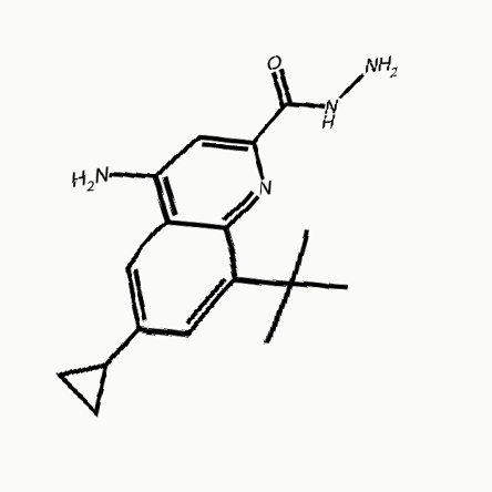 CC(C)(C)c1cc(C2CC2)cc2c(N)cc(C(=O)NN)nc12